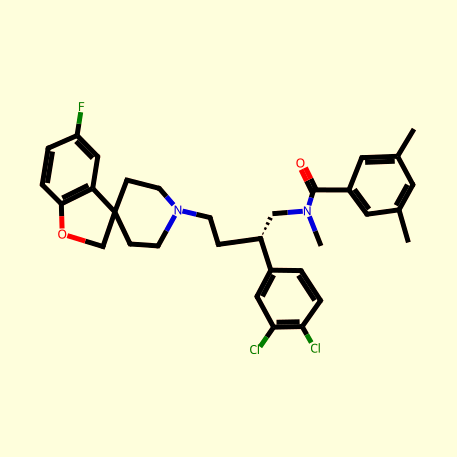 Cc1cc(C)cc(C(=O)N(C)C[C@@H](CCN2CCC3(CC2)COc2ccc(F)cc23)c2ccc(Cl)c(Cl)c2)c1